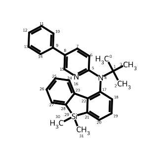 CC(C)(C)N(c1ccc(-c2ccccc2)cn1)c1cccc2c1-c1ccccc1[Si]2(C)C